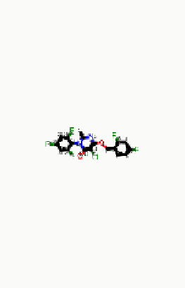 Cc1nc(OCc2ccc(F)cc2F)c(Cl)c(=O)n1-c1c(F)cc(F)cc1F